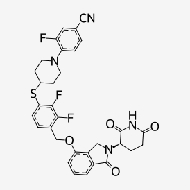 N#Cc1ccc(N2CCC(Sc3ccc(COc4cccc5c4CN([C@@H]4CCC(=O)NC4=O)C5=O)c(F)c3F)CC2)c(F)c1